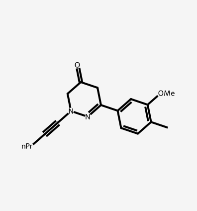 CCCC#CN1CC(=O)CC(c2ccc(C)c(OC)c2)=N1